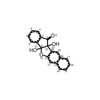 O=C1c2ccccc2C2(O)Oc3cc4ccccc4cc3C12O